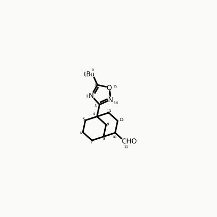 CC(C)(C)c1nc(C23CCCC(C2)C(C=O)CC3)no1